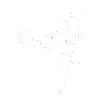 Cc1c(CN(C(=O)[C@H]2CN(C(=O)OC(C)(C)C)CC[C@@H]2c2cccc(-c3ccccc3)c2)C2CC2)ccnc1OCCC(=O)O